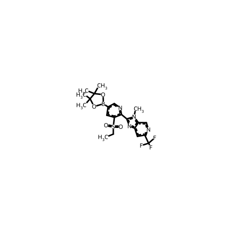 CCS(=O)(=O)c1cc(B2OC(C)(C)C(C)(C)O2)cnc1-c1nc2cc(C(F)(F)F)ncc2n1C